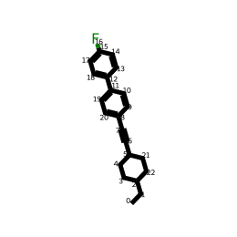 CCC1CCC(C#Cc2ccc(-c3ccc(F)cc3)cc2)CC1